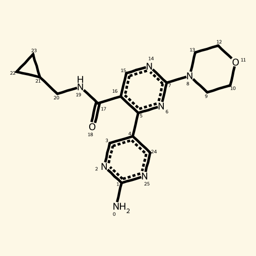 Nc1ncc(-c2nc(N3CCOCC3)ncc2C(=O)NCC2CC2)cn1